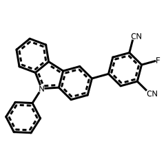 N#Cc1cc(-c2ccc3c(c2)c2ccccc2n3-c2ccccc2)cc(C#N)c1F